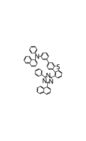 c1ccc(-c2nc(-c3cccc4ccccc34)nc(-c3cccc4sc5cc(-c6cccc(N(c7ccccc7)c7cccc8ccccc78)c6)ccc5c34)n2)cc1